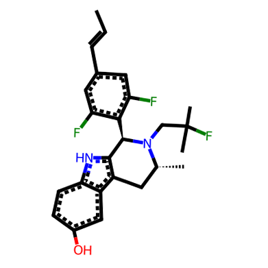 C/C=C/c1cc(F)c([C@@H]2c3[nH]c4ccc(O)cc4c3C[C@@H](C)N2CC(C)(C)F)c(F)c1